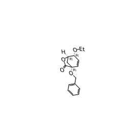 CCO[C@@H]1C=C[C@]2(OCc3ccccc3)C[C@H]1OC2=O